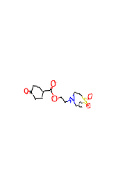 O=C1CCC(C(=O)OCCN2CCS(=O)(=O)CC2)CC1